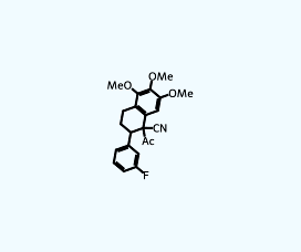 COc1cc2c(c(OC)c1OC)CCC(c1cccc(F)c1)C2(C#N)C(C)=O